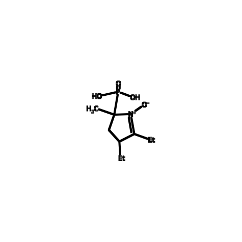 CCC1=[N+]([O-])C(C)(P(=O)(O)O)CC1CC